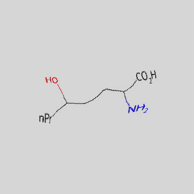 CCCC(O)CCC(N)C(=O)O